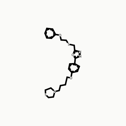 c1ccc(OCCSCc2nnc(-c3ccc(OCCCCN4CCSCC4)cc3)o2)cc1